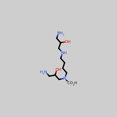 NCC(O)CNCCCCN(CC(O)CN)C(=O)O